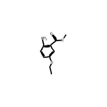 CCOc1ccc(N)c(C(=O)OC)c1